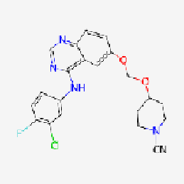 N#CN1CCC(OCOc2ccc3ncnc(Nc4ccc(F)c(Cl)c4)c3c2)CC1